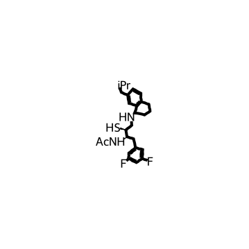 CC(=O)N[C@@H](Cc1cc(F)cc(F)c1)[C@@H](S)CN[C@H]1CCCc2ccc(CC(C)C)cc21